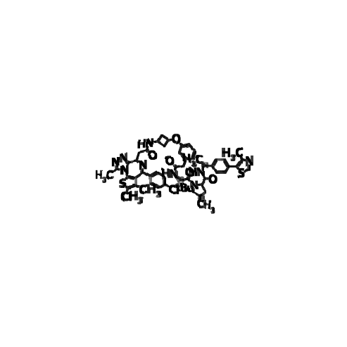 Cc1ncsc1-c1ccc([C@H](C)NC(=O)C2C[C@@H](C)CN2C(=O)[C@@H](NC(=O)Cc2cccc(OC3CC(NC(=O)CC4N=C(c5ccc(Cl)cc5)c5c(sc(C)c5C)-n5c(C)nnc54)C3)c2)C(C)(C)C)cc1